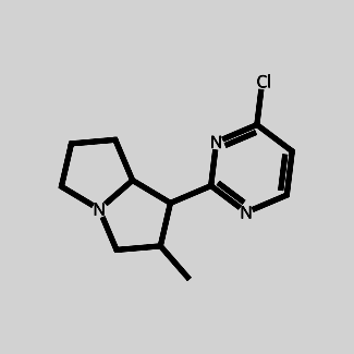 CC1CN2CCCC2C1c1nccc(Cl)n1